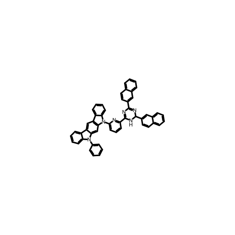 c1ccc(-n2c3ccccc3c3cc4c5ccccc5n(-c5cccc(C6=NC(c7ccc8ccccc8c7)=NC(c7ccc8ccccc8c7)N6)n5)c4cc32)cc1